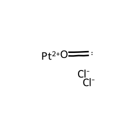 [C]=O.[Cl-].[Cl-].[Pt+2]